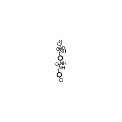 O=C(NCc1ccc(Cl)cc1)Nc1ccc(CNS(=O)(=O)C2CCOC2)cc1